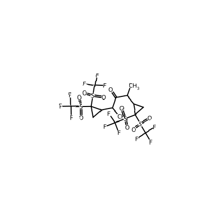 CC(C(=O)C(C)C1CC1(S(=O)(=O)C(F)(F)F)S(=O)(=O)C(F)(F)F)C1CC1(S(=O)(=O)C(F)(F)F)S(=O)(=O)C(F)(F)F